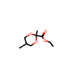 CCOC(=O)C1(C)OCC(C)CO1